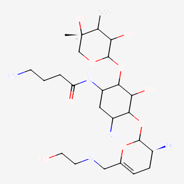 CNC1C(O)C(OC2C(NC(=O)CCCN)CC(N)C(OC3OC(CNCCO)=CC[C@@H]3N)C2O)OC[C@]1(C)O